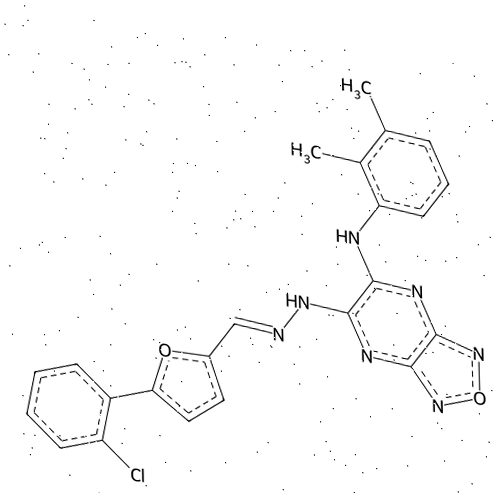 Cc1cccc(Nc2nc3nonc3nc2NN=Cc2ccc(-c3ccccc3Cl)o2)c1C